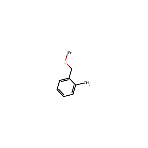 [CH2]c1ccccc1COC(C)C